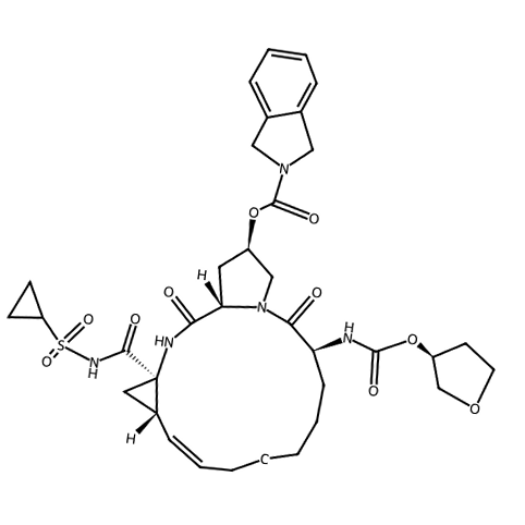 O=C(N[C@H]1CCCCC/C=C\[C@@H]2C[C@@]2(C(=O)NS(=O)(=O)C2CC2)NC(=O)[C@@H]2C[C@@H](OC(=O)N3Cc4ccccc4C3)CN2C1=O)O[C@H]1CCOC1